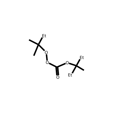 CCC(C)(C)OOC(=O)OC(C)(CC)CC